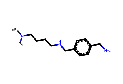 CCCN(CCC)CCCCNCc1ccc(CN)cc1